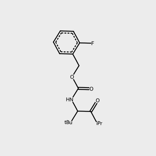 CC(C)C(=O)C(NC(=O)OCc1ccccc1F)C(C)(C)C